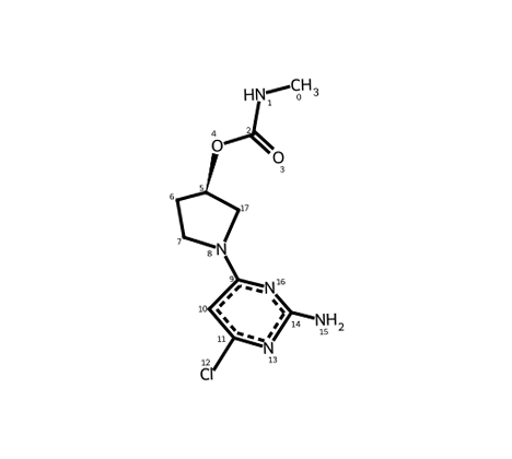 CNC(=O)O[C@@H]1CCN(c2cc(Cl)nc(N)n2)C1